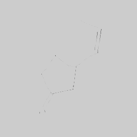 C/C=C\C1CCC(=O)C1